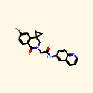 O=C(CN1CC2(CC2)c2cc(Br)ccc2C1=O)Nc1ccc2ncccc2c1